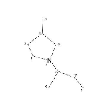 [CH2]C1CCN(C(C)CC)C1